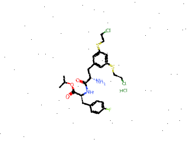 CC(C)OC(=O)[C@H](Cc1ccc(F)cc1)NC(=O)[C@@H](N)Cc1cc(SCCCl)cc(SCCCl)c1.Cl